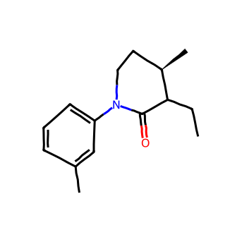 CCC1C(=O)N(c2cccc(C)c2)CC[C@H]1C